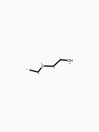 OCCOCI